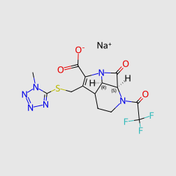 Cn1nnnc1SCC1=C(C(=O)[O-])N2C(=O)[C@@H]3[C@H]2C1CCN3C(=O)C(F)(F)F.[Na+]